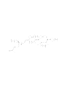 CC(C)CCN(S)CCCOC(C)C(O)C(O)C(O)C(C)C(=O)O